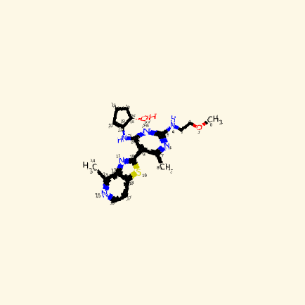 COCCNc1nc(C)c(-c2nc3c(C)nccc3s2)c(N[C@H]2CCC[C@@H]2O)n1